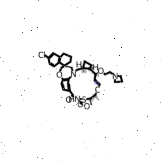 C[C@@H]1[C@@H](C)C/C=C/[C@H](OCCN2CCC2)[C@@H]2CC[C@H]2CN2C[C@@]3(CCCc4cc(Cl)ccc43)COc3ccc(cc32)C(=O)NS1(=O)=O